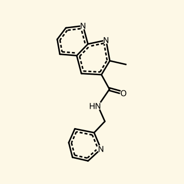 Cc1nc2ncccc2cc1C(=O)NCc1ccccn1